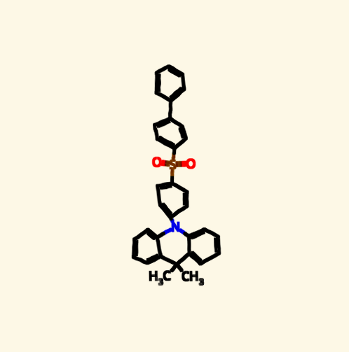 CC1(C)c2ccccc2N(c2ccc(S(=O)(=O)c3ccc(-c4ccccc4)cc3)cc2)c2ccccc21